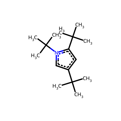 CC(C)(C)c1cc(C(C)(C)C)n(C(C)(C)C)c1